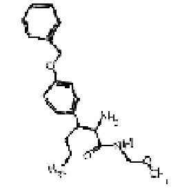 CCCC(c1ccc(OCc2ccccc2)cc1)C(N)C(=O)NCOC